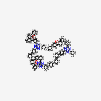 c1ccc(-c2ccc(-c3nc(-c4ccc(-c5cccc(-c6cccc7oc8c(ccc9cccc(-c%10nc(-c%11ccccc%11)nc(-c%11cccc(-c%12ccc(-c%13cccc(-c%14cccc(-c%15ccc(-c%16nc(-c%17ccccc%17)nc(-c%17cccc(-c%18cccc%19c%18ccc%18c%20ccccc%20oc%19%18)c%17)n%16)cc%15)c%14)c%13)cc%12)c%11)n%10)c98)c67)c5)cc4)nc(-c4cccc(-c5cccc6ccc7c8ccccc8oc7c56)c4)n3)cc2)cc1